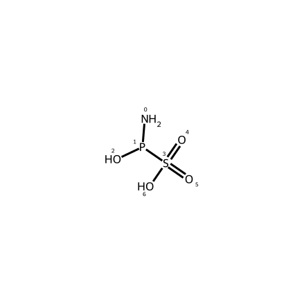 NP(O)S(=O)(=O)O